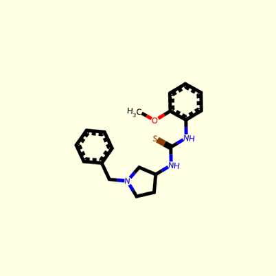 COc1ccccc1NC(=S)NC1CCN(Cc2ccccc2)C1